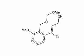 CCC(=CCO)c1ccnc(OC)c1COCOC